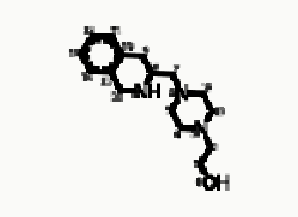 OCCN1CCN(CC2Cc3ccccc3CN2)CC1